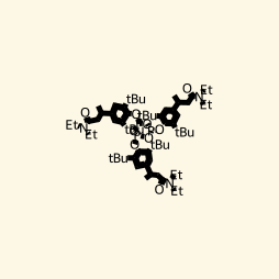 CCN(CC)C(=O)CC(C)c1cc(C(C)(C)C)c(OP2OP(Oc3c(C(C)(C)C)cc(C(C)CC(=O)N(CC)CC)cc3C(C)(C)C)OP(Oc3c(C(C)(C)C)cc(C(C)CC(=O)N(CC)CC)cc3C(C)(C)C)O2)c(C(C)(C)C)c1